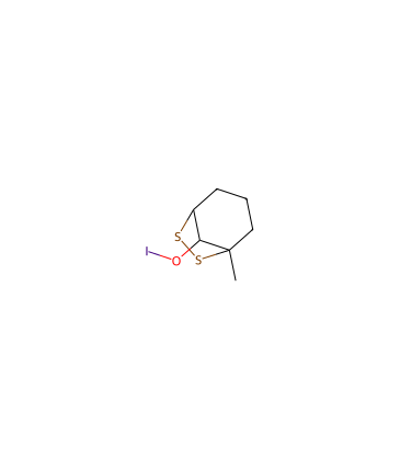 CC12CCCC(SS1)C2OI